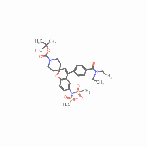 CCN(CC)C(=O)c1ccc(C2=CC3(CCN(C(=O)OC(C)(C)C)CC3)Oc3ccc(N(S(C)(=O)=O)S(C)(=O)=O)cc32)cc1